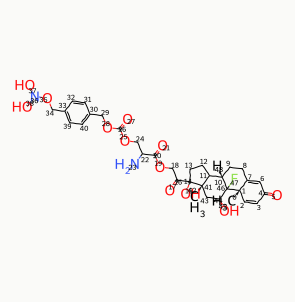 C[C@]12C=CC(=O)C=C1CC[C@H]1C3CCC(O)(C(=O)COC(=O)C(N)COC(=O)OCc4ccc(CON(O)O)cc4)[C@@]3(C)C[C@H](O)C12F